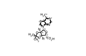 Cc1ncnc2c1ncn2[C@@H]1O[C@H](C(=O)O)[C@H]2OC(C)(C)O[C@H]21